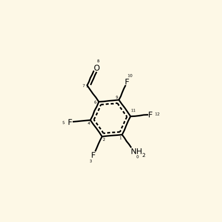 Nc1c(F)c(F)c([C]=O)c(F)c1F